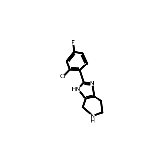 Fc1ccc(-c2nc3c([nH]2)CNCC3)c(Cl)c1